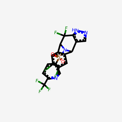 O=S(=O)(c1ccc(C(F)(F)F)nc1)N1C2c3cc(F)c(F)cc3C1C(F)(F)c1[nH]ncc12